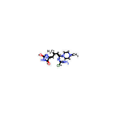 C=C(/C=C1\NC(=O)NC1=O)/C=C(\N=C(/N)Cl)N1CCN(C)CC1